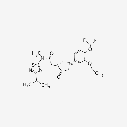 CCOc1cc([C@@H]2CC(=O)N(CC(=O)N(C)c3nc(C(C)C)ns3)C2)ccc1OC(F)F